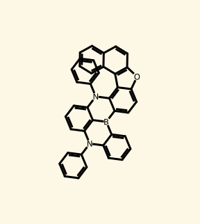 c1ccc(N2c3ccccc3B3c4ccc5oc6ccc7ccccc7c6c5c4N(c4ccccc4)c4cccc2c43)cc1